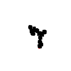 c1ccc(-c2cc(-c3ccc4sc5c(-c6ccccc6)nc6ccccc6c5c4c3)nc(-c3ccc(-c4ccc5c(ccc6ccccc65)c4)cc3)n2)cc1